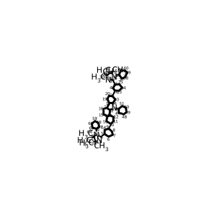 CC1(C)N=C(c2cccc(-c3ccc4c(ccc5c6ccc(-c7cccc(C8=NC(C)(C)C(C)(C)N8c8ccccc8)c7)cc6n(-c6ccccc6)c45)c3)c2)N(c2ccccc2)C1(C)C